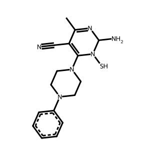 CC1=NC(N)N(S)C(N2CCN(c3ccccc3)CC2)=C1C#N